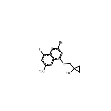 CCc1nc(OCC2(O)CC2)c2cc(C(C)(C)C)cc(F)c2n1